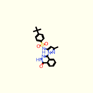 Cc1cc(NS(=O)(=O)c2ccc(C(C)(C)C)cc2)n(-c2n[nH]c(=O)c3ccccc23)n1